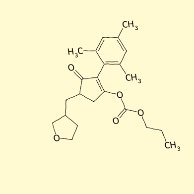 CCCOC(=O)OC1=C(c2c(C)cc(C)cc2C)C(=O)C(CC2CCOC2)C1